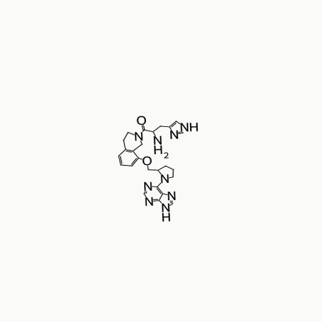 NC(Cc1c[nH]cn1)C(=O)N1CCc2cccc(OCC3CCCN3c3ncnc4[nH]cnc34)c2C1